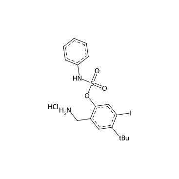 CC(C)(C)c1cc(CN)c(OS(=O)(=O)Nc2ccccc2)cc1I.Cl